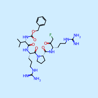 CC(C)[C@H](NC(=O)OCc1ccccc1)C(=O)N[C@@H](CCCNC(=N)N)C(=O)N1CCC[C@H]1C(=O)N[C@@H](CCCNC(=N)N)C(=O)CF